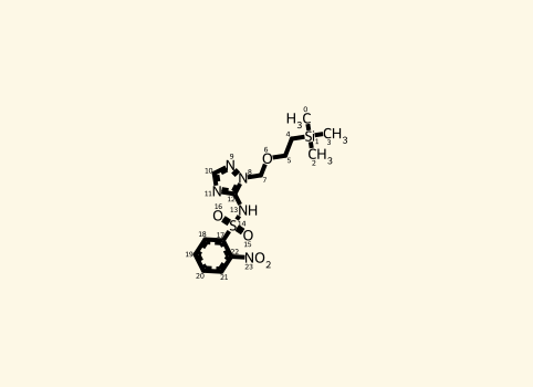 C[Si](C)(C)CCOCn1ncnc1NS(=O)(=O)c1ccccc1[N+](=O)[O-]